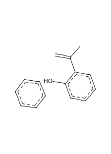 C=C(C)c1ccccc1O.c1ccccc1